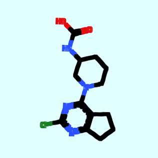 O=C(O)NC1CCCN(c2nc(Cl)nc3c2CCC3)C1